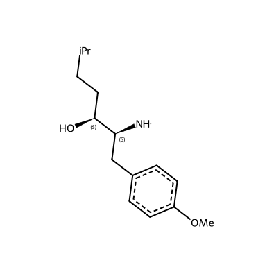 COc1ccc(C[C@H]([NH])[C@@H](O)CCC(C)C)cc1